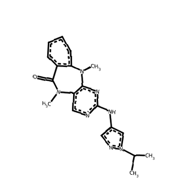 CC(C)n1cc(Nc2ncc3c(n2)N(C)c2ccccc2C(=O)N3C)cn1